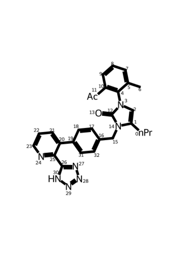 CCCc1cn(-c2c(C)cccc2C(C)=O)c(=O)n1Cc1ccc(-c2cccnc2-c2nnn[nH]2)cc1